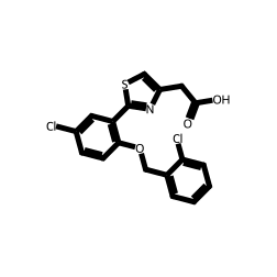 O=C(O)Cc1csc(-c2cc(Cl)ccc2OCc2ccccc2Cl)n1